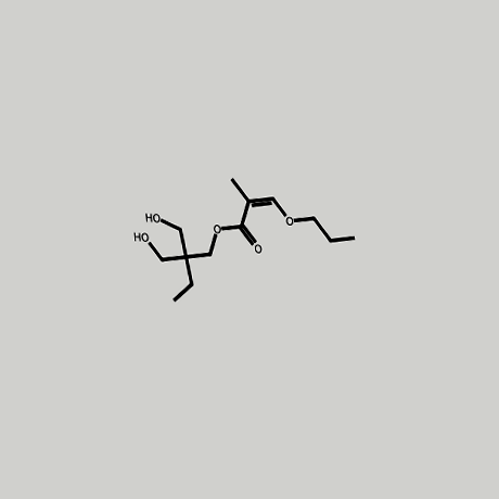 CCCOC=C(C)C(=O)OCC(CC)(CO)CO